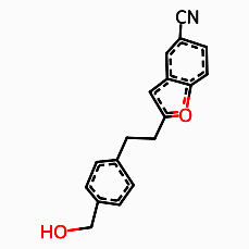 N#Cc1ccc2oc(CCc3ccc(CO)cc3)cc2c1